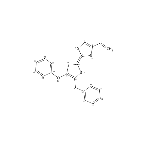 C=CC1=CSC(=C2SC(Cc3ccccc3)=C(Oc3ccccc3)S2)S1